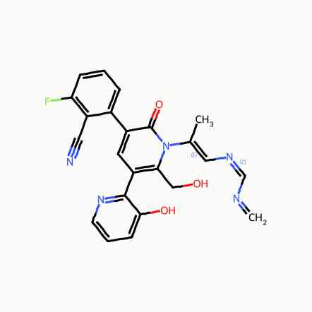 C=N/C=N\C=C(/C)n1c(CO)c(-c2ncccc2O)cc(-c2cccc(F)c2C#N)c1=O